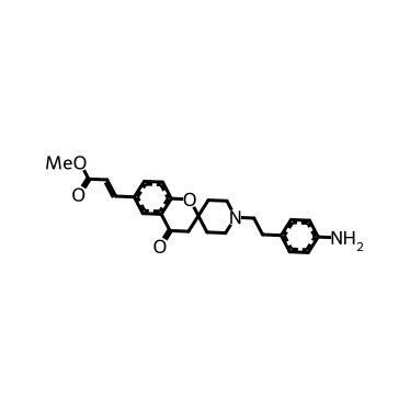 COC(=O)C=Cc1ccc2c(c1)C(=O)CC1(CCN(CCc3ccc(N)cc3)CC1)O2